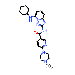 O=C(Nc1nc2cccc(NC3CCCCC3)n2n1)c1ccc(N2CCN(C(=O)O)CC2)nc1